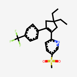 CCC1(CC)CC(c2ccc(C(F)(F)F)cc2)=C(c2ccc(S(C)(=O)=O)cn2)C1